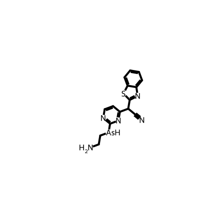 N#CC(c1ccnc([AsH]CCN)n1)c1nc2ccccc2s1